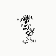 CC(CO)Cn1cc(-c2ccc(B3OC(C)(C)C(C)(C)O3)c(F)c2F)c(C(F)(F)F)n1